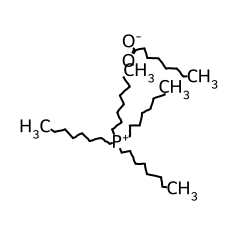 CCCCCCCC(=O)[O-].CCCCCCCC[P+](CCCCCCCC)(CCCCCCCC)CCCCCCCC